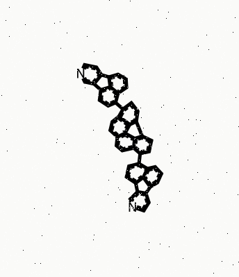 c1cc2c3c(ccc(-c4ccc5c6c4ccc4ccc7c(-c8ccc9c%10c(cccc8%10)-c8ccncc8-9)ccc-5c7c46)c3c1)-c1cnccc1-2